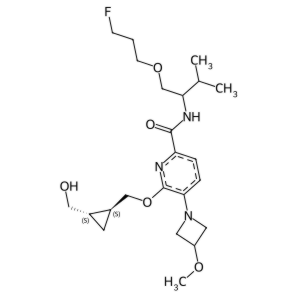 COC1CN(c2ccc(C(=O)NC(COCCCF)C(C)C)nc2OC[C@H]2C[C@@H]2CO)C1